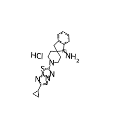 Cl.N[C@@H]1c2ccccc2CC12CCN(c1nn3cc(C4CC4)nc3s1)CC2